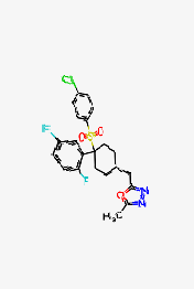 Cc1nnc(CC2CCC(c3cc(F)ccc3F)(S(=O)(=O)c3ccc(Cl)cc3)CC2)o1